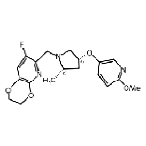 COc1ccc(O[C@@H]2C[C@H](C)N(Cc3nc4c(cc3F)OCCO4)C2)cn1